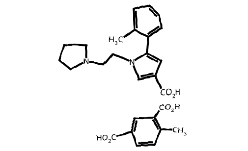 Cc1ccc(C(=O)O)cc1C(=O)O.Cc1ccccc1-c1cc(C(=O)O)cn1CCN1CCCC1